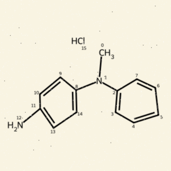 CN(c1ccccc1)c1ccc(N)cc1.Cl